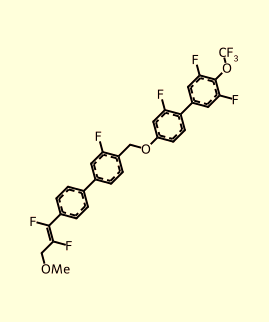 COC/C(F)=C(\F)c1ccc(-c2ccc(COc3ccc(-c4cc(F)c(OC(F)(F)F)c(F)c4)c(F)c3)c(F)c2)cc1